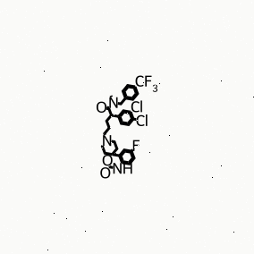 CN(Cc1ccc(C(F)(F)F)cc1)C(=O)C(CCCN1CCC2(CC1)OC(=O)Nc1ccc(F)cc12)c1ccc(Cl)c(Cl)c1